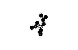 CC1(C)c2ccccc2-c2ccc(-c3nc(-c4cccc(-c5ccc6c(c5)c5ccccc5n6-c5ccccc5)c4)nc(-n4c5ccccc5c5cc(-c6ccccc6)ccc54)n3)cc21